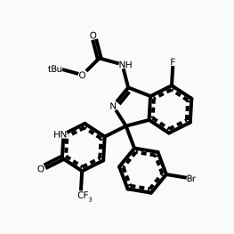 CC(C)(C)OC(=O)NC1=NC(c2cccc(Br)c2)(c2c[nH]c(=O)c(C(F)(F)F)c2)c2cccc(F)c21